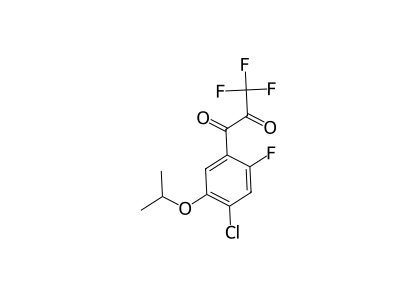 CC(C)Oc1cc(C(=O)C(=O)C(F)(F)F)c(F)cc1Cl